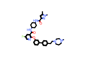 Cc1cc(C(=O)NC2CCC(NC(=O)c3cc(F)cnc3Oc3cccc(-c4ccc(CCN5CCCN(C)CC5)cc4)c3)CC2)nn1C